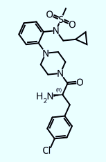 CS(=O)(=O)N(CC1CC1)c1ccccc1N1CCN(C(=O)[C@H](N)Cc2ccc(Cl)cc2)CC1